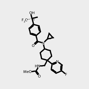 COC(=O)NCC1(c2ccc(F)cn2)CCC(N(C(=O)c2ccc([C@](C)(O)C(F)(F)F)cc2)C2CC2)CC1